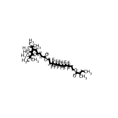 CCC(C)C(=O)OCCC(F)(F)C(F)(F)C(F)(F)C(F)(F)C(F)(F)C(F)(F)CCOC(=O)CCc1cc(C(C)(C)C)c(O)c(C(C)(C)C)c1